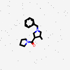 CC1CN(Cc2ccccc2)CC1C(=O)N1CCCC1